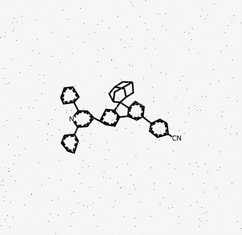 N#Cc1ccc(-c2ccc3c(c2)-c2ccc(-c4cc(-c5ccccc5)nc(-c5ccccc5)c4)cc2C32C3CC4CC(C3)CC2C4)cc1